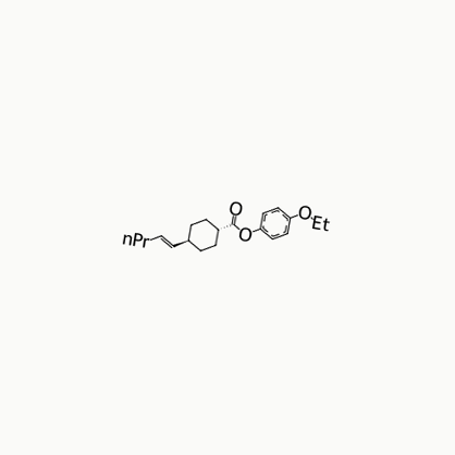 CCCC=C[C@H]1CC[C@H](C(=O)Oc2ccc(OCC)cc2)CC1